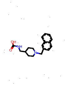 O=C(O)NCC1CCN(Cc2ccc3ccccc3c2)CC1